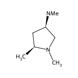 CN[C@@H]1C[C@H](C)N(C)C1